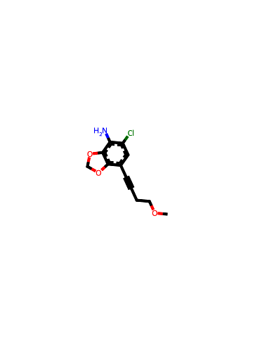 COCCC#Cc1cc(Cl)c(N)c2c1OCO2